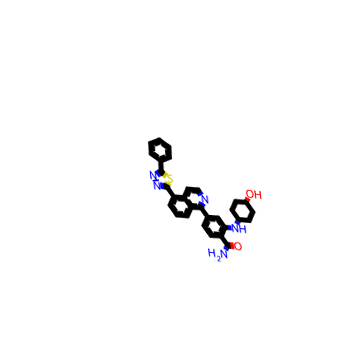 NC(=O)c1ccc(-c2nccc3c(-c4nnc(-c5ccccc5)s4)cccc23)cc1NC1CCC(O)CC1